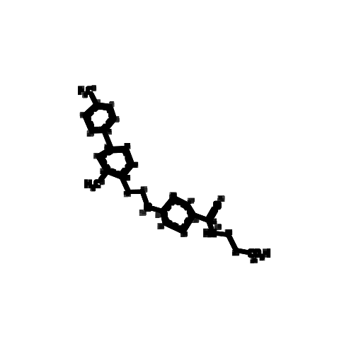 Cc1cc(-c2ccc(C(F)(F)F)cc2)ccc1CCOc1ccc(C(=O)NCCC(=O)O)cc1